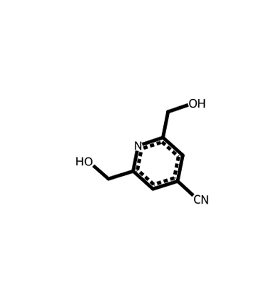 N#Cc1cc(CO)nc(CO)c1